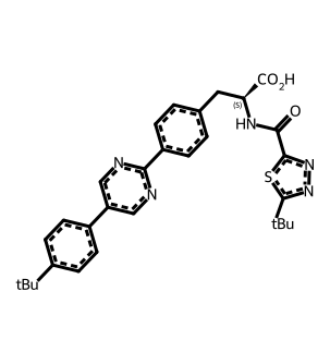 CC(C)(C)c1ccc(-c2cnc(-c3ccc(C[C@H](NC(=O)c4nnc(C(C)(C)C)s4)C(=O)O)cc3)nc2)cc1